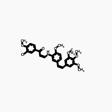 COc1ccc(C(=O)/C=C\Nc2cc(/C=C\c3cc(OC)c(OC)c(OC)c3)ccc2OC)cc1Cl